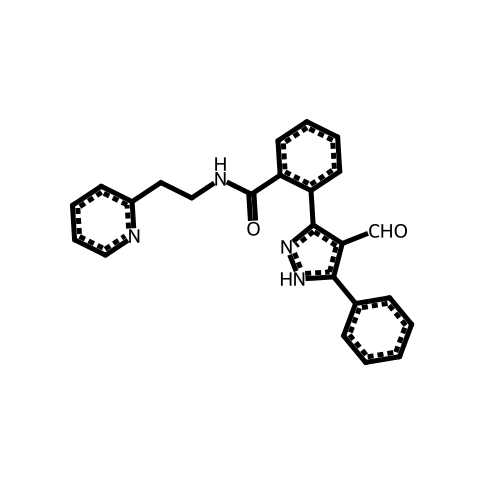 O=Cc1c(-c2ccccc2C(=O)NCCc2ccccn2)n[nH]c1-c1ccccc1